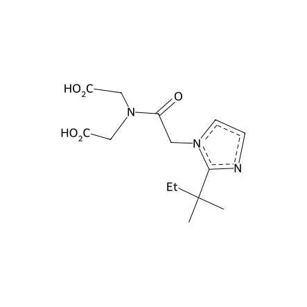 CCC(C)(C)c1nccn1CC(=O)N(CC(=O)O)CC(=O)O